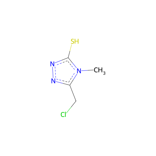 Cn1c(S)nnc1CCl